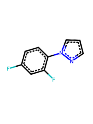 Fc1ccc(-n2cccn2)c(F)c1